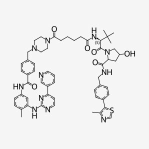 Cc1ccc(NC(=O)c2ccc(CN3CCN(C(=O)CCCCC(=O)N[C@H](C(=O)N4CC(O)CC4C(=O)NCc4ccc(-c5scnc5C)cc4)C(C)(C)C)CC3)cc2)cc1Nc1nccc(-c2cccnc2)n1